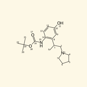 CC(CN1CCCC1)c1cc(O)ccc1NC(=O)OC(C)(C)C